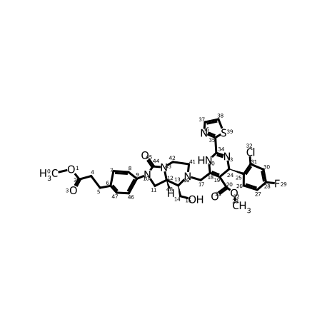 COC(=O)CCc1ccc(N2C[C@H]3[C@H](CO)N(CC4=C(C(=O)OC)[C@H](c5ccc(F)cc5Cl)N=C(c5nccs5)N4)CCN3C2=O)cc1